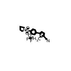 Cn1c(C#N)ccc1-c1ccc(S(=O)(=O)N2CCCC2)c(OC(F)(F)F)c1